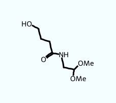 COC(CNC(=O)CCCO)OC